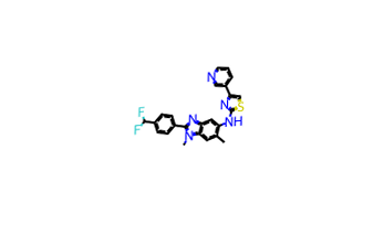 Cc1cc2c(cc1Nc1nc(-c3cccnc3)cs1)nc(-c1ccc(C(F)F)cc1)n2C